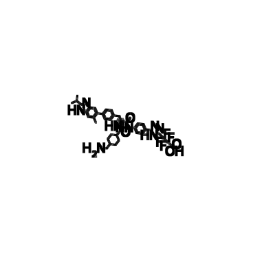 Cc1cc2[nH]c(C(C)C)nc2cc1-c1ccc(C[C@H](NC(=O)C2CCC(CN)CC2)C(=O)Nc2ccc(-c3nnc(C(F)(F)C(F)(F)C(=O)O)[nH]3)cc2)cc1